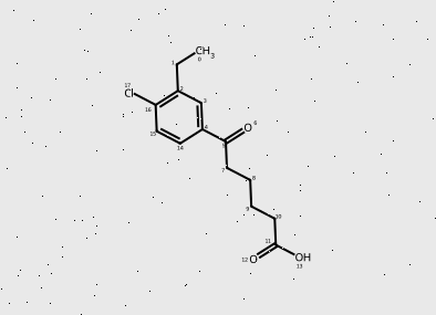 CCc1cc(C(=O)CCCCC(=O)O)ccc1Cl